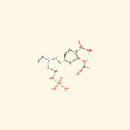 CC(=O)Oc1ccccc1C(=O)O.CCN(CC)CCOS(=O)(=O)O